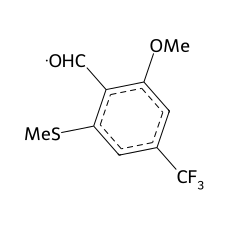 COc1cc(C(F)(F)F)cc(SC)c1[C]=O